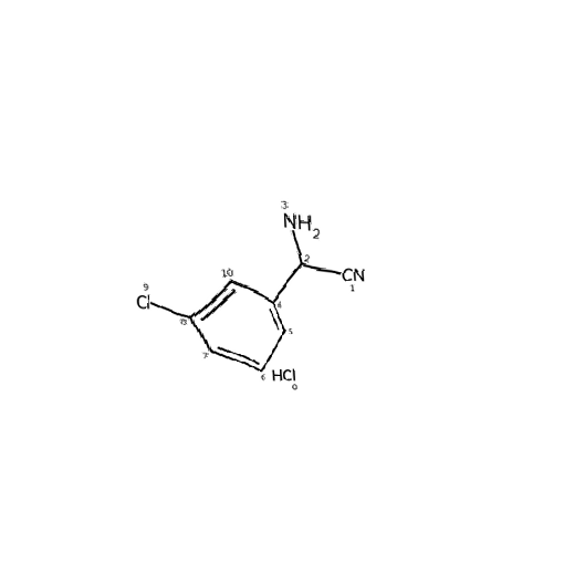 Cl.N#CC(N)c1cccc(Cl)c1